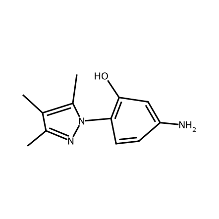 Cc1nn(-c2ccc(N)cc2O)c(C)c1C